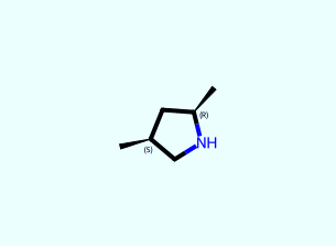 C[C@@H]1CN[C@H](C)C1